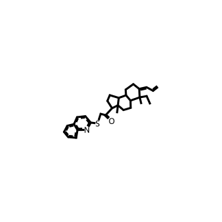 C=C/C=C1/CCC2C(CCC3(C)C(C(=O)CSc4ccc5ccccc5n4)CCC23)C1(C)CC